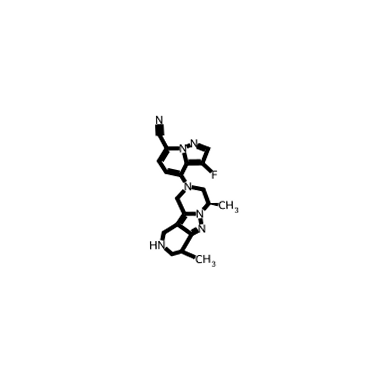 CC1CNCc2c1nn1c2CN(c2ccc(C#N)n3ncc(F)c23)C[C@H]1C